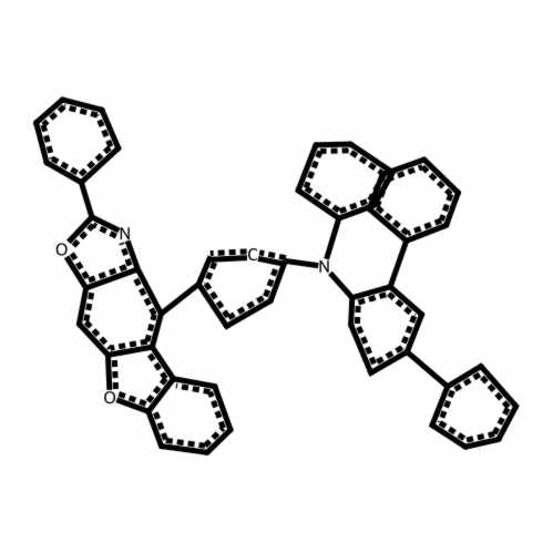 c1ccc(-c2ccc(N(c3ccccc3)c3ccc(-c4c5nc(-c6ccccc6)oc5cc5oc6ccccc6c45)cc3)c(-c3ccccc3)c2)cc1